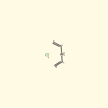 C=[CH][Al+][CH]=C.[Cl-]